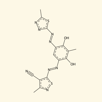 Cc1nnc(/N=N/c2cc(/N=N/c3snc(C)c3C#N)c(O)c(C)c2O)s1